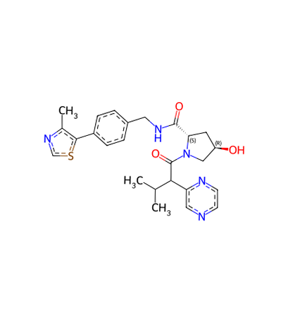 Cc1ncsc1-c1ccc(CNC(=O)[C@@H]2C[C@@H](O)CN2C(=O)C(c2cnccn2)C(C)C)cc1